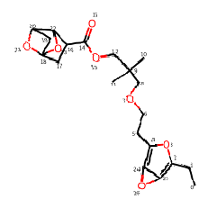 CCc1oc(CCOCC(C)(C)COC(=O)C2CC34CC(O3)C2O4)c2c1O2